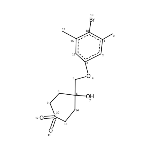 Cc1cc(OCC2(O)CCS(=O)(=O)CC2)cc(C)c1Br